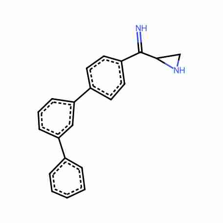 N=C(c1ccc(-c2cccc(-c3ccccc3)c2)cc1)C1CN1